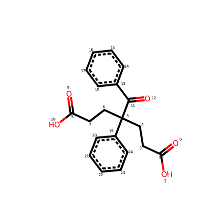 O=C(O)CCC(CCC(=O)O)(C(=O)c1ccccc1)c1ccccc1